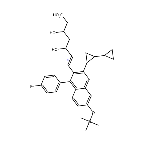 C[Si](C)(C)Oc1ccc2c(-c3ccc(F)cc3)c(/C=C/C(O)CC(O)CC(=O)O)c(C3CC3C3CC3)nc2c1